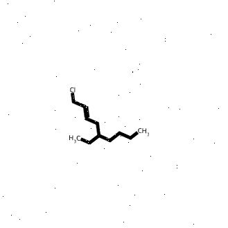 CCCCC(CC)CC=CCCl